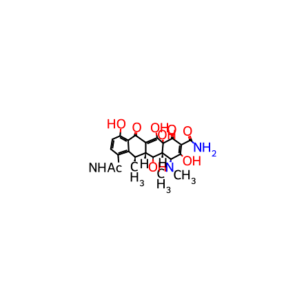 CC(=O)Nc1ccc(O)c2c1[C@H](C)[C@@H]1C(=C(O)[C@]3(O)C(=O)C(C(N)=O)=C(O)[C@@H](N(C)C)[C@@H]3[C@H]1O)C2=O